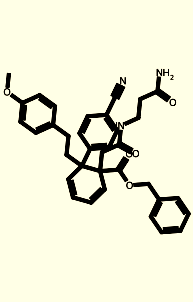 COc1ccc(CCC2(c3ccc(C#N)cc3)C=CC=CC2(CC(=O)NCCC(N)=O)C(=O)OCc2ccccc2)cc1